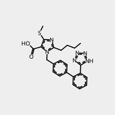 CCCCc1nc(SC)c(C(=O)O)n1Cc1ccc(-c2ccccc2-c2nnn[nH]2)cc1